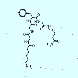 C[C@H](CC(N)=O)OCNC(=O)CNC(=O)[C@H](Cc1ccccc1)NC(=O)CNC(=O)CNC(=O)CCCCCN